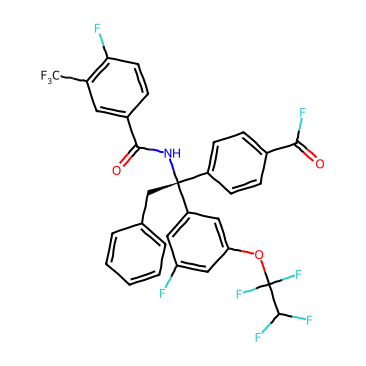 O=C(F)c1ccc([C@@](Cc2ccccc2)(NC(=O)c2ccc(F)c(C(F)(F)F)c2)c2cc(F)cc(OC(F)(F)C(F)F)c2)cc1